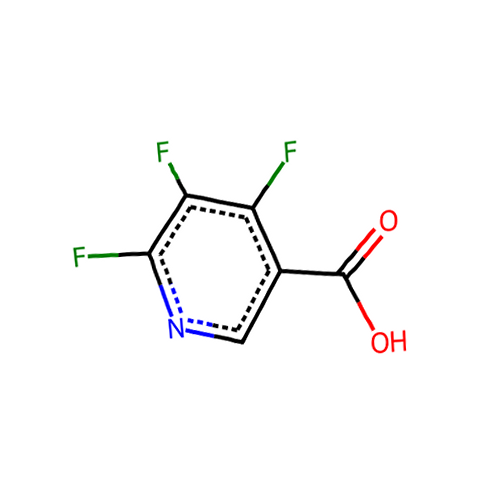 O=C(O)c1cnc(F)c(F)c1F